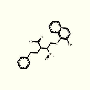 O=[PH2]C(CSc1c(O)ccc2ccccc12)C(CCc1ccccc1)C(=O)O